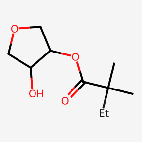 CCC(C)(C)C(=O)OC1COCC1O